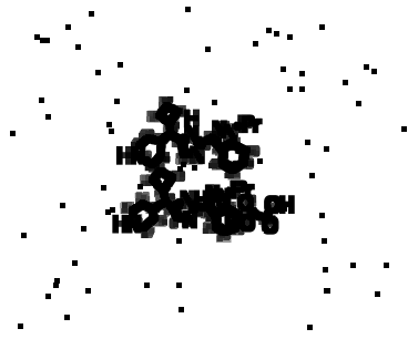 CC(C)n1nc(-c2ncc(C(C3CCC3)C3CCNCC3)[nH]2)c2ccccc21.CC(C)n1nc(-c2ncc(C(C3CCC3)C3CCNCC3)[nH]2)c2ccccc21.O=C(O)C(=O)O